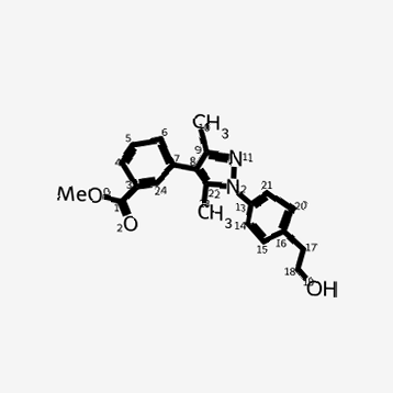 COC(=O)c1cccc(-c2c(C)nn(-c3ccc(CCO)cc3)c2C)c1